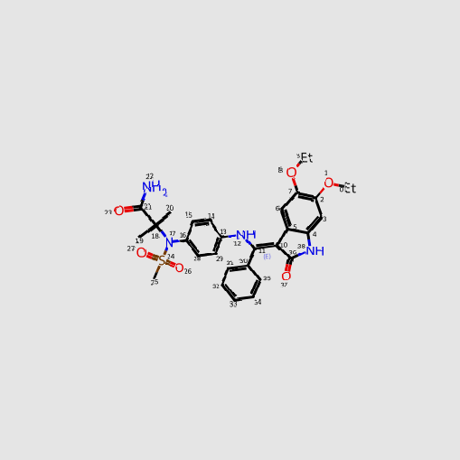 CCOc1cc2c(cc1OCC)/C(=C(\Nc1ccc(N(C(C)(C)C(N)=O)S(C)(=O)=O)cc1)c1ccccc1)C(=O)N2